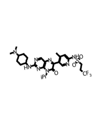 Cc1cc(NS(=O)(=O)CCC(F)(F)F)ncc1-c1nc2cnc(NC3CCC(N(C)C)CC3)nc2n(C(C)C)c1=O